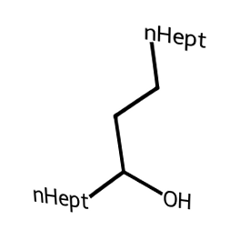 CCCCCCCCCC(O)CCCCCCC